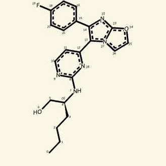 CCCC[C@@H](CO)Nc1nccc(-c2c(-c3ccc(F)cc3)nc3occn23)n1